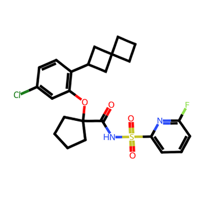 O=C(NS(=O)(=O)c1cccc(F)n1)C1(Oc2cc(Cl)ccc2C2CC3(CCC3)C2)CCCC1